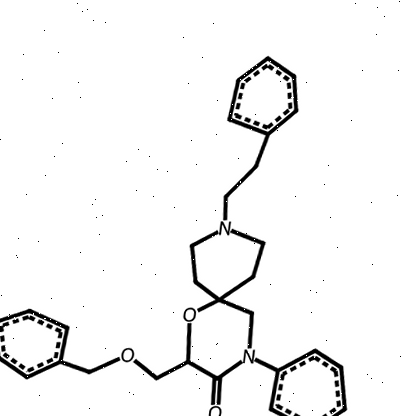 O=C1C(COCc2ccccc2)OC2(CCN(CCc3ccccc3)CC2)CN1c1ccccc1